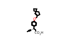 CC#C[C@@H](CC(=O)O)c1ccc(OCC2=CC3(CCC3)CC2)cc1